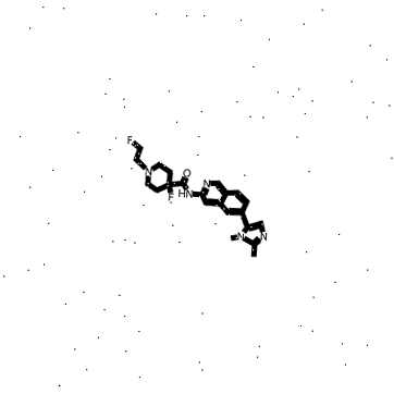 Cc1ncc(-c2ccc3cnc(NC(=O)C4(F)CCN(CCF)CC4)cc3c2)n1C